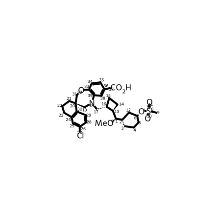 CO[C@@H]([C@H]1CCC[C@H](OS(C)(=O)=O)C1)[C@@H]1CC[C@H]1CN1C[C@@]2(CCCc3cc(Cl)ccc32)COc2ccc(C(=O)O)cc21